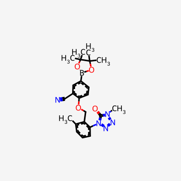 Cc1cccc(-n2nnn(C)c2=O)c1COc1ccc(B2OC(C)(C)C(C)(C)O2)cc1C#N